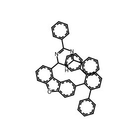 c1ccc(C2=NC(c3cccc4oc5ccc(-c6c(-c7ccccc7)cccc6-c6ccccc6)cc5c34)NC(c3ccccc3)=N2)cc1